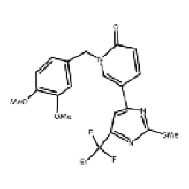 CCC(F)(F)c1cc(-c2ccc(=O)n(Cc3ccc(OC)c(OC)c3)c2)nc(SC)n1